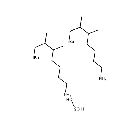 CCC(C)CC(C)C(C)CCCCN.CCC(C)CC(C)C(C)CCCCN.O=S(=O)(O)O